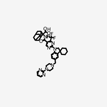 O=C(NC1(C(=O)O)C2CC3CC(C2)CC1C3)c1cnc(N2CC3(CCCCC3)c3cc(CN4CCN(c5ncccn5)CC4)ccc32)nc1C(F)(F)F